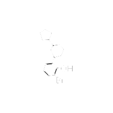 Oc1c(Br)cccc1[C@H]1CCC[C@H](C2CCCC2)C1